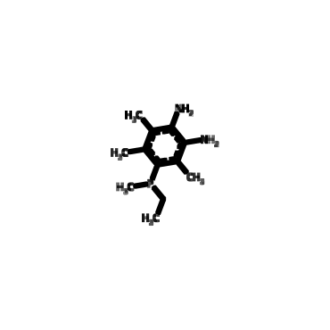 CCP(C)c1c(C)c(C)c(N)c(N)c1C